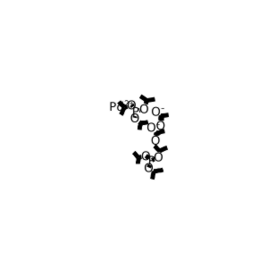 CC(=O)[O-].CC(=O)[O-].CC(C)OP(OC(C)C)OC(C)C.CC(C)OP(OC(C)C)OC(C)C.[Pd+2]